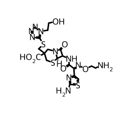 NCCON=C(C(=O)NC1C(=O)N2CC(CSc3nnnn3CCO)(C(=O)O)CS[C@H]12)c1csc(N)n1